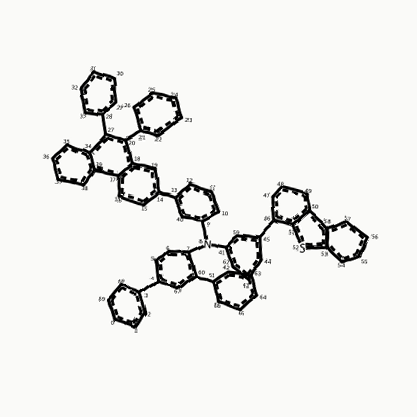 c1ccc(-c2ccc(N(c3cccc(-c4ccc5c(c4)c(-c4ccccc4)c(-c4ccccc4)c4ccccc45)c3)c3cccc(-c4cccc5c4sc4ccccc45)c3)c(-c3ccccc3)c2)cc1